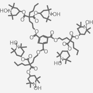 CCCCC(CCCOC(=O)c1cc(C(=O)OCCCC(CCCC)(C(=O)OC2CC(C)(C)N(O)C(C)(C)C2)C(=O)OC2CC(C)(C)N(O)C(C)(C)C2)cc(C(=O)OCCCC(CCCC)(C(=O)OC2CC(C)(C)N(O)C(C)(C)C2)C(=O)OC2CC(C)(C)N(O)C(C)(C)C2)c1)(C(=O)OC1CC(C)(C)N(O)C(C)(C)C1)C(=O)OC1CC(C)(C)N(O)C(C)(C)C1